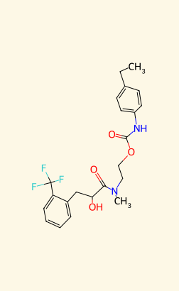 CCc1ccc(NC(=O)OCCN(C)C(=O)C(O)Cc2ccccc2C(F)(F)F)cc1